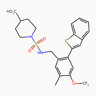 Cc1cc(CNS(=O)(=O)N2CCC(C(=O)O)CC2)c(-c2cc3ccccc3s2)cc1OC(F)(F)F